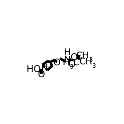 CC(C)(C)OC(=O)NCCOCC1CCN(C(=O)O)CC1